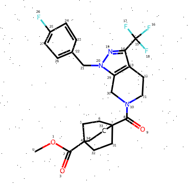 COC(=O)C12CCC(C(=O)N3CCc4c(C(F)(F)F)nn(Cc5ccc(F)cc5)c4C3)(CC1)CC2